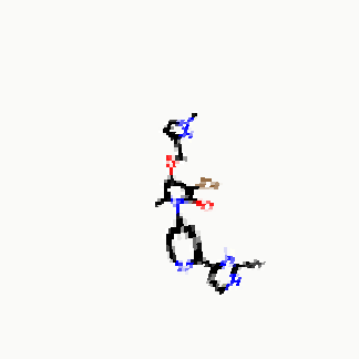 Cc1cc(OCc2ccn(C)n2)c(Br)c(=O)n1-c1ccnc(-c2ccnc(C(C)C)n2)c1